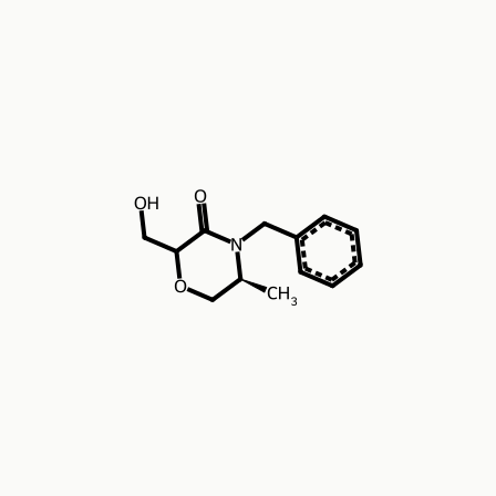 C[C@H]1COC(CO)C(=O)N1Cc1ccccc1